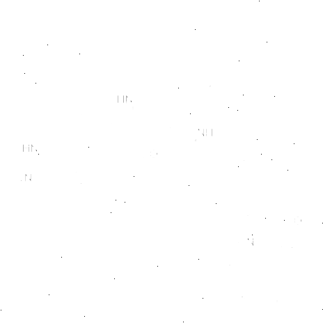 Cc1cc(NC(=O)C(Nc2ccc3cn[nH]c3c2)c2ccccc2)ccc1N1CCCCC1=O